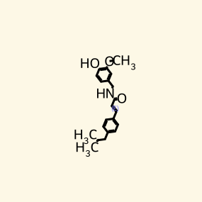 COc1cc(CNC(=O)/C=C/c2ccc(CC(C)C)cc2)ccc1O